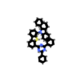 c1ccc(-c2nc(-c3ccccc3)nc(-c3cccc4c3sc3c(-n5c6ccccc6c6ccc7ccccc7c65)cccc34)n2)cc1